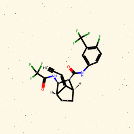 C#C/C=C1\[C@H]2CC[C@@H]1[C@H](C(=O)Nc1ccc(F)c(C(F)(F)F)c1)[C@@H]2NC(=O)C(F)(F)F